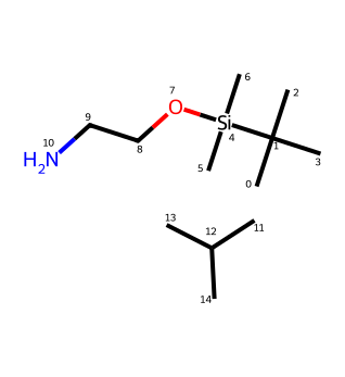 CC(C)(C)[Si](C)(C)OCCN.CC(C)C